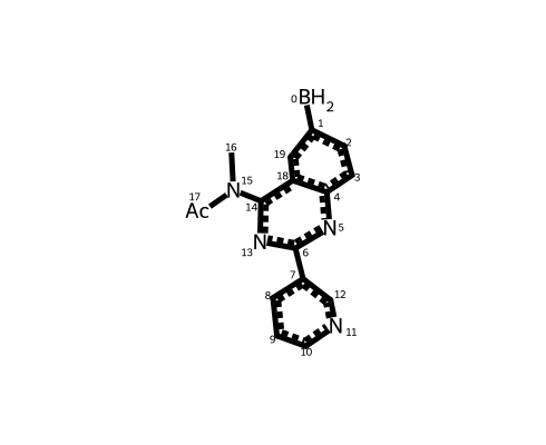 Bc1ccc2nc(-c3cccnc3)nc(N(C)C(C)=O)c2c1